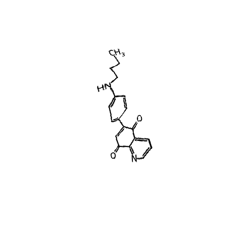 CCCCNc1ccc(C2=CC(=O)c3ncccc3C2=O)cc1